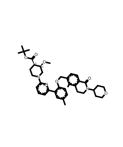 CO[C@H]1CN(c2cccc(-c3cc(C)ccc3OCc3ccc4c(c3C)CCN(C3CCOCC3)C4=O)n2)CC[C@H]1C(=O)OC(C)(C)C